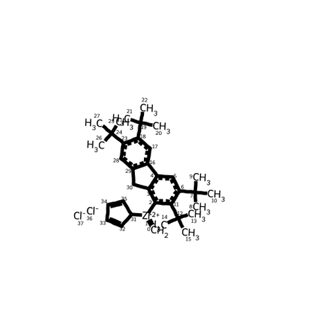 [CH2]=[Zr+2]([c]1c2c(cc(C(C)(C)C)c1C(C)(C)C)-c1cc(C(C)(C)C)c(C(C)(C)C)cc1C2)[CH]1C=CC=C1.[Cl-].[Cl-]